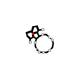 Clc1ccccc1C1OCCOCCOCCOCCOC1c1ccccc1Cl